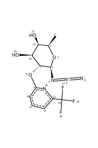 C[C@H]1O[C@@H](N=[N+]=[N-])[C@H](Oc2cccc(C(F)(F)F)n2)[C@@H](O)[C@H]1O